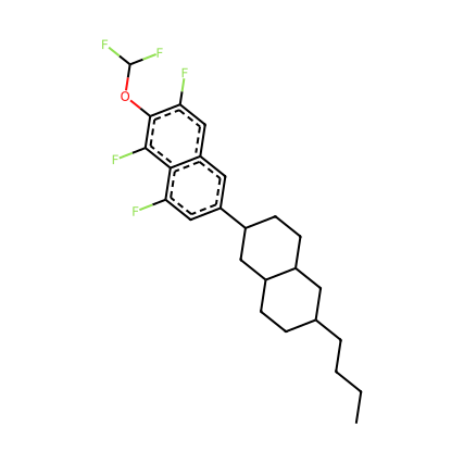 CCCCC1CCC2CC(c3cc(F)c4c(F)c(OC(F)F)c(F)cc4c3)CCC2C1